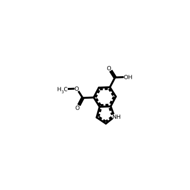 COC(=O)c1cc(C(=O)O)cc2[nH]ccc12